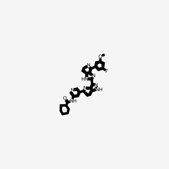 COc1cc(F)cc(-c2nccc3[nH]c(-c4n[nH]c5ccc(-c6cncc(NC(=O)C7CCCCC7)c6)nc45)nc23)c1